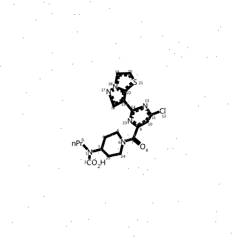 CCCN(C(=O)O)C1CCN(C(=O)c2cc(Cl)nc(-c3cnn4ccsc34)n2)CC1